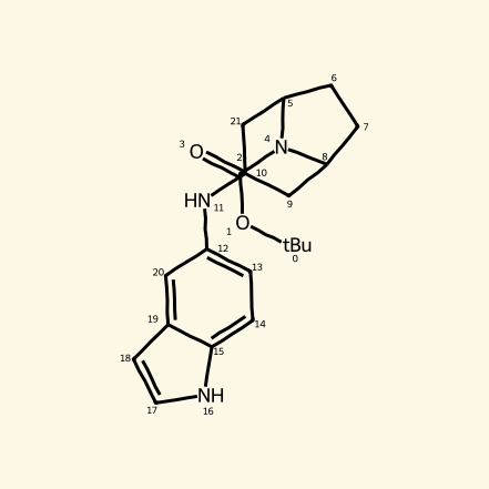 CC(C)(C)OC(=O)N1C2CCC1CC(Nc1ccc3[nH]ccc3c1)C2